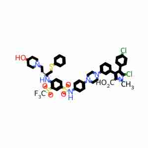 Cn1c(Cl)c(-c2ccc(Cl)cc2)c(-c2cccc(N3CCN(c4ccc(NS(=O)(=O)c5ccc(N[C@H](CCN6CCC(O)CC6)CSc6ccccc6)c(S(=O)(=O)C(F)(F)F)c5)cc4)CC3)c2)c1C(=O)O